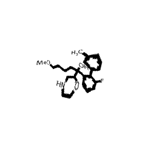 COCCCCC(O)(c1cccc(F)c1-c1cccc(C)c1)C1CNCCO1